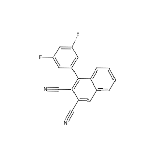 N#Cc1cc2ccccc2c(-c2cc(F)cc(F)c2)c1C#N